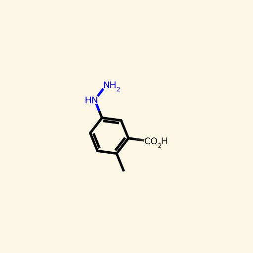 Cc1ccc(NN)cc1C(=O)O